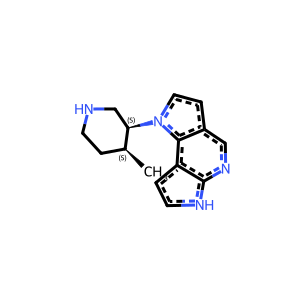 C[C@H]1CCNC[C@H]1n1ccc2cnc3[nH]ccc3c21